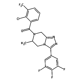 CC1Cn2c(nnc2-c2cc(F)c(F)c(F)c2)CN1C(=O)c1cccc(C(F)(F)F)c1Cl